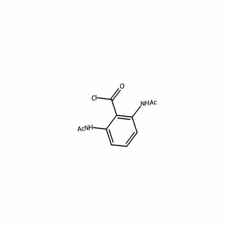 CC(=O)Nc1cccc(NC(C)=O)c1C(=O)Cl